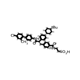 Cc1cc(Cl)ccc1-c1ccc(NC(=O)[C@H](Cc2ccc(C(=O)NCCS(=O)(=O)O)cc2)c2ccc([C@H]3CC[C@H](C(C)(C)C)CC3)cc2)cc1